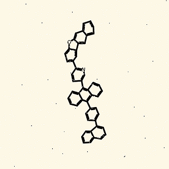 c1ccc2cc3c(cc2c1)oc1ccc(-c2ccc(-c4c5ccccc5c(-c5ccc(-c6cccc7ccccc67)cc5)c5ccccc45)cn2)cc13